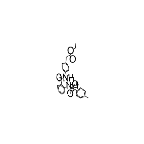 CCOC(=O)Cc1ccc(NC(=O)c2ccccc2NS(=O)(=O)c2ccc(C)cc2)cc1